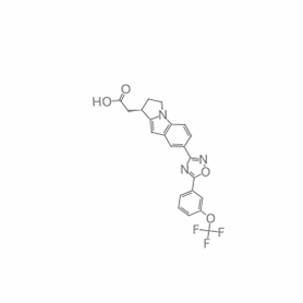 O=C(O)C[C@H]1CCn2c1cc1cc(-c3noc(-c4cccc(OC(F)(F)F)c4)n3)ccc12